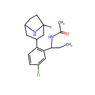 CCC(NC(C)=O)c1cc(Cl)ccc1C1CC2CCC(I)(C1)N2